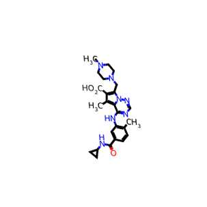 Cc1ccc(C(=O)NC2CC2)cc1Nc1ncnn2c(CN3CCN(C)CC3)c(C(=O)O)c(C)c12